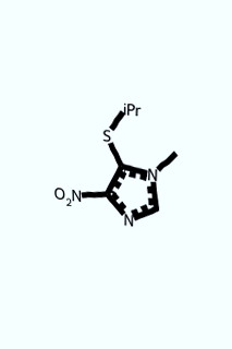 CC(C)Sc1c([N+](=O)[O-])ncn1C